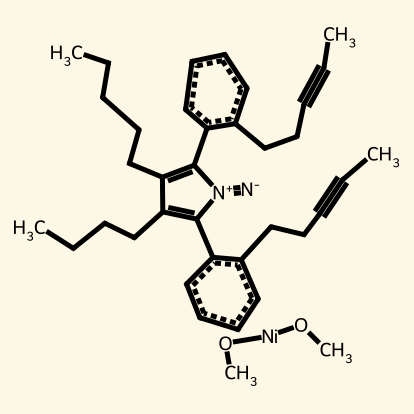 CC#CCCc1ccccc1C1=C(CCCC)C(CCCCC)=C(c2ccccc2CCC#CC)[N+]1=[N-].C[O][Ni][O]C